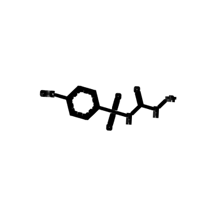 CCCNC(=O)NS(=O)(=O)c1ccc(C=O)cc1